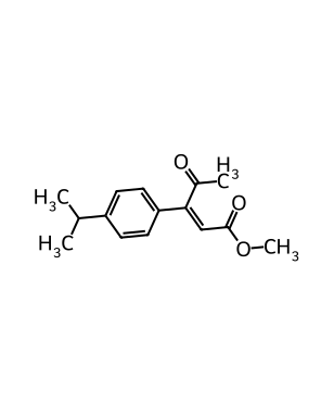 COC(=O)C=C(C(C)=O)c1ccc(C(C)C)cc1